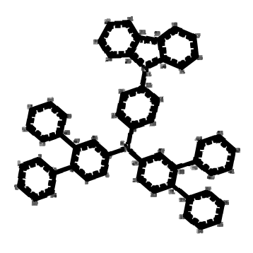 c1ccc(-c2ccc(N(c3ccc(-n4c5ccccc5c5ccccc54)cc3)c3ccc(-c4ccccc4)c(-c4ccccc4)c3)cc2-c2ccccc2)cc1